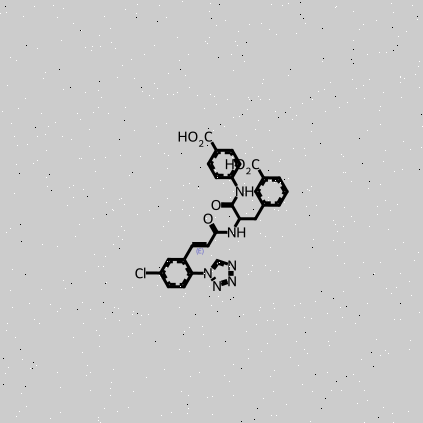 O=C(/C=C/c1cc(Cl)ccc1-n1cnnn1)NC(Cc1cccc(C(=O)O)c1)C(=O)Nc1ccc(C(=O)O)cc1